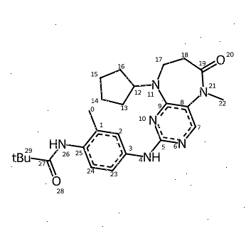 Cc1cc(Nc2ncc3c(n2)N(C2CCCC2)CCC(=O)N3C)ccc1NC(=O)C(C)(C)C